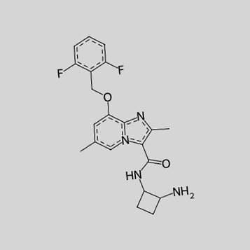 Cc1cc(OCc2c(F)cccc2F)c2nc(C)c(C(=O)NC3CCC3N)n2c1